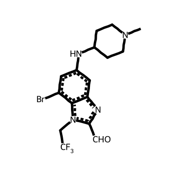 CN1CCC(Nc2cc(Br)c3c(c2)nc(C=O)n3CC(F)(F)F)CC1